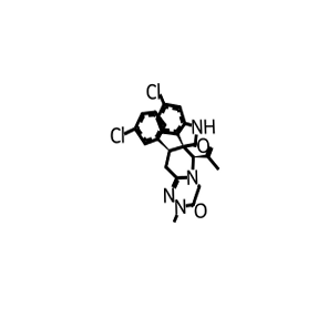 C=C(C)[C@H]1N2CC(=O)N(C)N=C2C[C@@H](c2cccc(Cl)c2)[C@]12C(=O)Nc1cc(Cl)ccc12